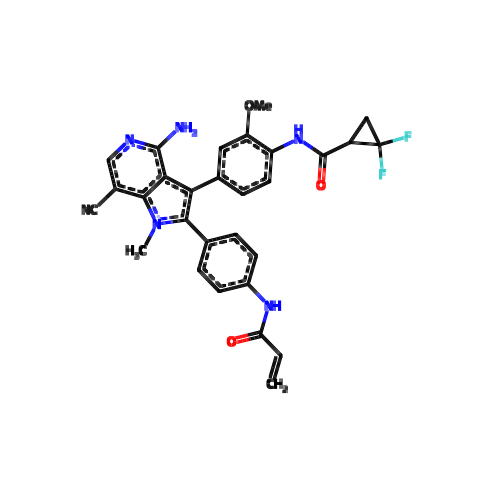 C=CC(=O)Nc1ccc(-c2c(-c3ccc(NC(=O)C4CC4(F)F)c(OC)c3)c3c(N)ncc(C#N)c3n2C)cc1